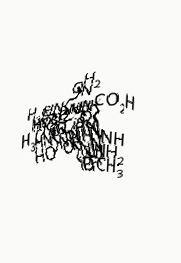 CC[C@H](C)[C@H](NC(=O)[C@H](CC(C)C)NC(=O)[C@H](C)N)C(=O)N[C@@H](CO)C(=O)N[C@@H](C)C(=O)N[C@@H](C)C(=O)N[C@@H](CCC(N)=O)C(=O)N[C@@H](CCC(=O)O)C(=O)N[C@@H](CCCNC(=N)N)C(=O)O